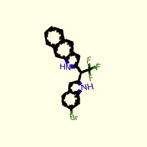 FC(F)(F)C(c1cc2ccc(Br)cc2[nH]1)c1cc2cc3ccccc3cc2[nH]1